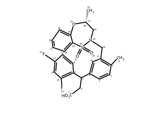 Cc1ccc(C(CC(=O)O)c2ccc(F)cc2F)cc1CN1C[C@@H](C)Oc2ccccc2S1(=O)=O